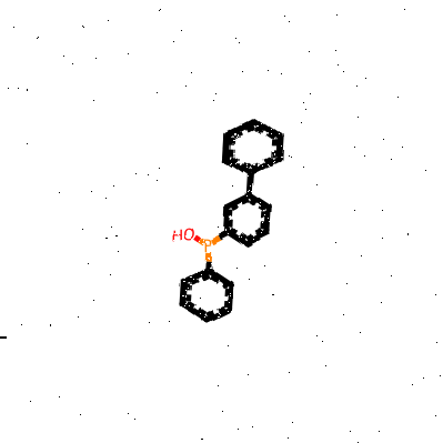 OP(c1ccccc1)c1cccc(-c2ccccc2)c1